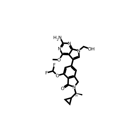 COc1nc(N)nc2c1c(-c1cc3c(c(OC(F)F)c1)C(=O)N([C@@H](C)C1CC1)C3)cn2CO